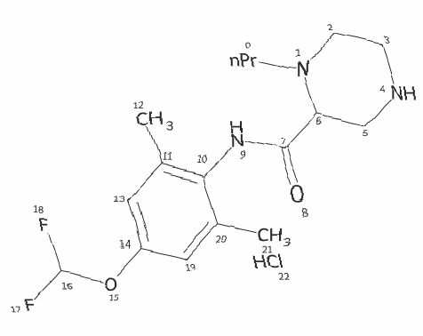 CCCN1CCNCC1C(=O)Nc1c(C)cc(OC(F)F)cc1C.Cl